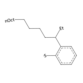 CCCCCCCCCCCCC(CC)c1ccccc1[S]